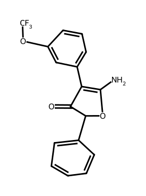 NC1=C(c2cccc(OC(F)(F)F)c2)C(=O)C(c2ccccc2)O1